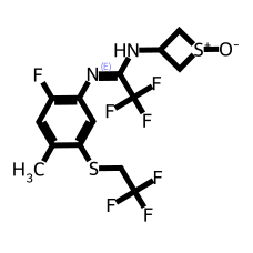 Cc1cc(F)c(/N=C(/NC2C[S+]([O-])C2)C(F)(F)F)cc1SCC(F)(F)F